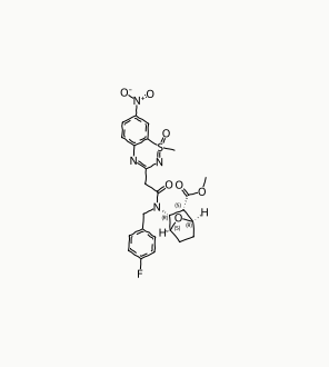 COC(=O)[C@H]1[C@@H](N(Cc2ccc(F)cc2)C(=O)CC2=Nc3ccc([N+](=O)[O-])cc3S(C)(=O)=N2)[C@@H]2CC[C@H]1O2